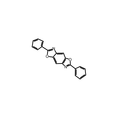 c1ccc(-c2nc3cc4oc(-c5ccccc5)nc4cc3o2)cc1